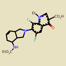 CCOC(=O)NC1CC=CC2CN(c3c(F)cc4c(=O)c(C(=O)O)cn(CC)c4c3F)CC21